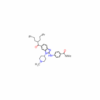 CNC(=O)c1ccc(Nc2nc3ccc(C(=O)C(CCC(C)C)CCC(C)C)cc3n2C2CCN(C)CC2)cc1